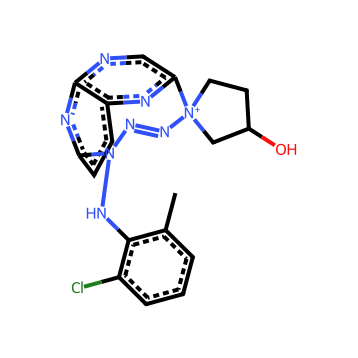 Cc1cccc(Cl)c1NN1N=N[N+]2(CCC(O)C2)c2cnc3nc1ccc3n2